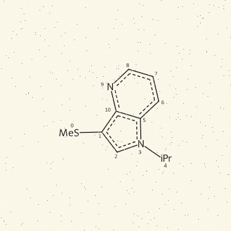 CSc1cn(C(C)C)c2cccnc12